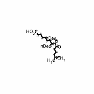 CCCCCCCCCCON(C(=O)CCCN(C)C)C(CCCCCCCCCC)CCCCCCC(=O)O